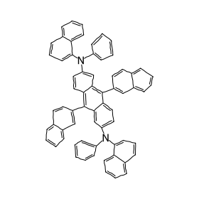 c1ccc(N(c2ccc3c(-c4ccc5ccccc5c4)c4cc(N(c5ccccc5)c5cccc6ccccc56)ccc4c(-c4ccc5ccccc5c4)c3c2)c2cccc3ccccc23)cc1